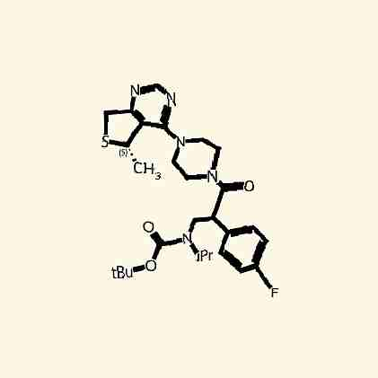 CC(C)N(CC(C(=O)N1CCN(c2ncnc3c2[C@H](C)SC3)CC1)c1ccc(F)cc1)C(=O)OC(C)(C)C